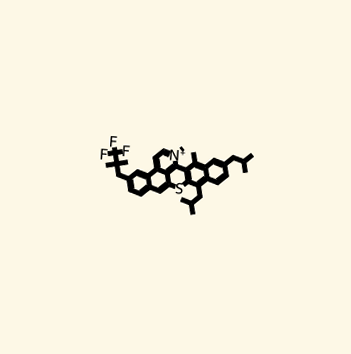 Cc1c2c(c(CC(C)C)c3ccc(CC(C)C)cc13)Sc1cc3ccc(CC(C)(C)C(F)(F)F)cc3c3cc[n+](C)c-2c13